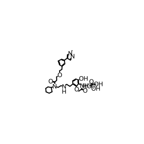 Cn1cc(-c2cccc(CCOCCC(=O)N(CCNCCc3ccc(O)c4c3OCC(=O)N4)C3CCCCC3)c2)cn1.O=P(O)(O)O